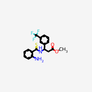 COC(=O)CC(NC(=S)c1ccccc1N)c1cccc(C(F)(F)F)c1